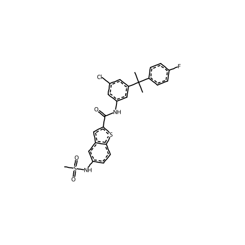 CC(C)(c1ccc(F)cc1)c1cc(Cl)cc(NC(=O)c2cc3cc(NS(C)(=O)=O)ccc3s2)c1